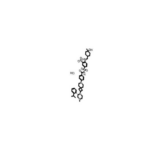 CC(C)c1ccccc1[C@H]1CN(C)CCN1C1CC2(CCN(c3ccc(C(=O)NS(=O)(=O)c4ccc(NCC5CCC(C)(O)CC5)c([N+](=O)[O-])c4)cc3)CC2)C1.Cl